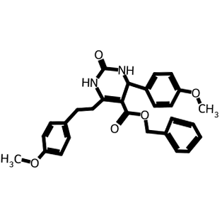 COc1ccc(CCC2=C(C(=O)OCc3ccccc3)C(c3ccc(OC)cc3)NC(=O)N2)cc1